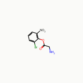 NCC(=O)Oc1c(Br)cccc1[N+](=O)[O-]